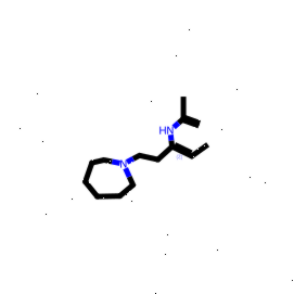 C=C(C)N/C(=C\C)CCN1CCCCCC1